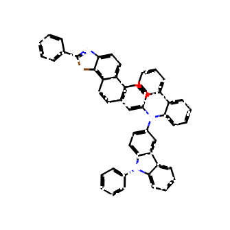 c1ccc(-c2nc3ccc4c5ccc(N(c6ccc7c(c6)c6ccccc6n7-c6ccccc6)c6ccccc6-c6ccccc6)cc5ccc4c3s2)cc1